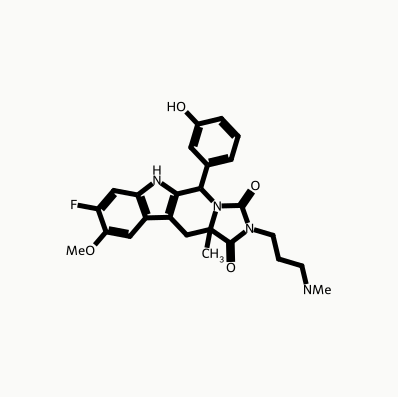 CNCCCN1C(=O)N2C(c3cccc(O)c3)c3[nH]c4cc(F)c(OC)cc4c3CC2(C)C1=O